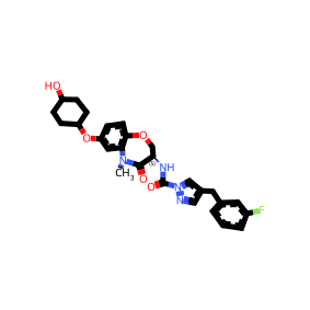 CN1C(=O)[C@@H](NC(=O)n2cc(Cc3cccc(F)c3)cn2)COc2ccc(OC3CCC(O)CC3)cc21